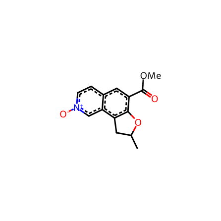 COC(=O)c1cc2cc[n+]([O-])cc2c2c1OC(C)C2